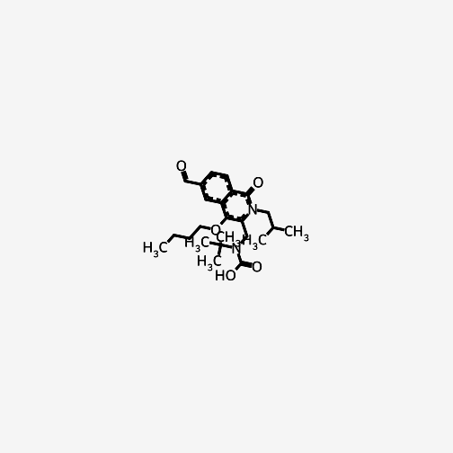 CCCCOc1c(CN(C(=O)O)C(C)(C)C)n(CC(C)C)c(=O)c2ccc(C=O)cc12